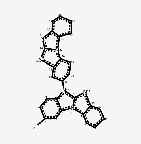 Ic1ccc2c(c1)n1c3ccccc3nc1n2-c1ccc2c(c1)sc1nc3ccccc3n12